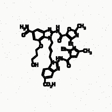 CCc1nc(C)oc1C(=O)Nc1nc2cc(C(N)=O)cc(OCCCO)c2n1C/C=C/Cn1c(NC(=O)c2cc(C)nn2CC)nc2cc(C(=O)O)ccc21